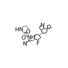 COc1ccc(-c2ccc(C[C@@H](C#N)NC(=O)[C@@H]3CNCCCO3)c(F)c2)c2ccn(C)c12